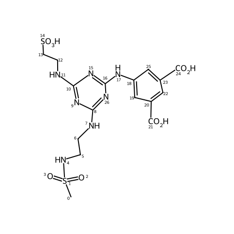 CS(=O)(=O)NCCNc1nc(NCCS(=O)(=O)O)nc(Nc2cc(C(=O)O)cc(C(=O)O)c2)n1